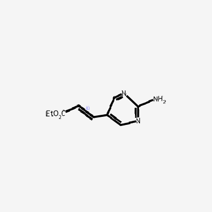 CCOC(=O)/C=C/c1cnc(N)nc1